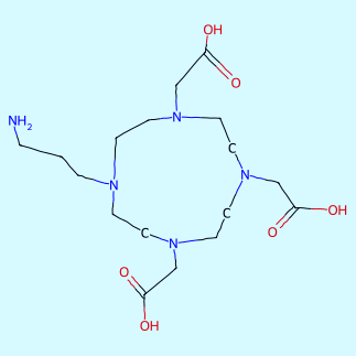 NCCCN1CCN(CC(=O)O)CCN(CC(=O)O)CCN(CC(=O)O)CC1